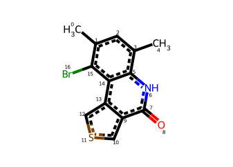 Cc1cc(C)c2[nH]c(=O)c3cscc3c2c1Br